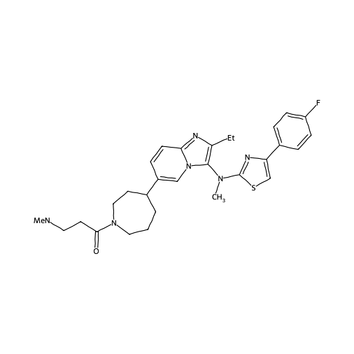 CCc1nc2ccc(C3CCCN(C(=O)CCNC)CC3)cn2c1N(C)c1nc(-c2ccc(F)cc2)cs1